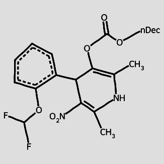 CCCCCCCCCCOC(=O)OC1=C(C)NC(C)=C([N+](=O)[O-])C1c1ccccc1OC(F)F